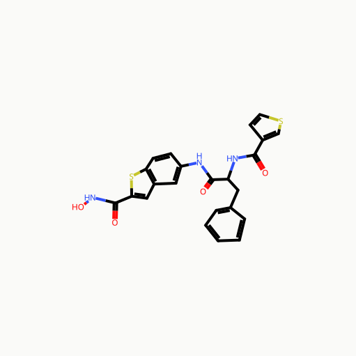 O=C(NC(Cc1ccccc1)C(=O)Nc1ccc2sc(C(=O)NO)cc2c1)c1ccsc1